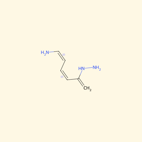 C=C(/C=C\C=C/N)NN